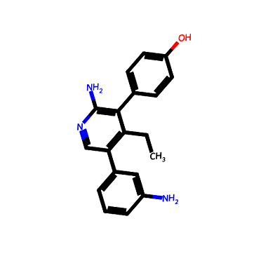 CCc1c(-c2cccc(N)c2)cnc(N)c1-c1ccc(O)cc1